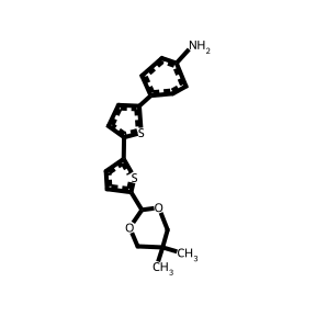 CC1(C)COC(c2ccc(-c3ccc(-c4ccc(N)cc4)s3)s2)OC1